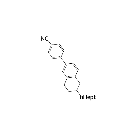 CCCCCCCC1CCc2cc(-c3ccc(C#N)cc3)ccc2C1